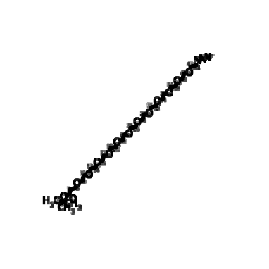 CC(C)(C)OC(=O)CCOCCOCCOCCOCCOCCOCCOCCOCCOCCOCCOCCOCCN=[N+]=[N-]